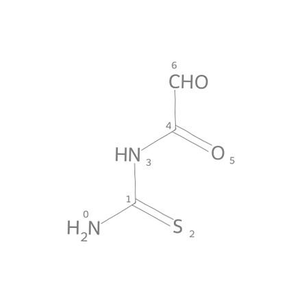 NC(=S)NC(=O)C=O